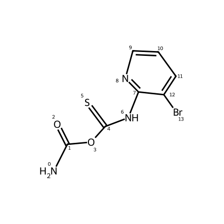 NC(=O)OC(=S)Nc1ncccc1Br